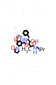 CC(C)CNC(=O)[C@H](C)C[C@@H](O)[C@H](Cc1ccccc1)NC(=O)c1cc(OC(C)C)cc(N2CCCC2=O)c1